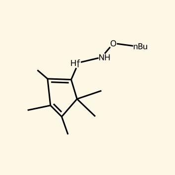 CCCCO[NH][Hf][C]1=C(C)C(C)=C(C)C1(C)C